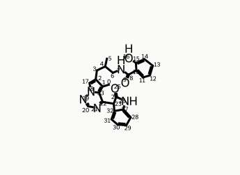 Cc1c(CC(C)CNC(=O)c2ccccc2O)cn2ncnc(C3C(=O)Nc4ccccc43)c12